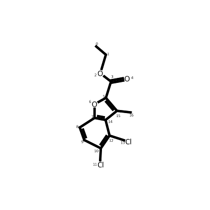 CCOC(=O)c1oc2ccc(Cl)c(Cl)c2c1C